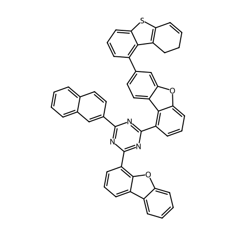 C1=Cc2sc3cccc(-c4ccc5c(c4)oc4cccc(-c6nc(-c7ccc8ccccc8c7)nc(-c7cccc8c7oc7ccccc78)n6)c45)c3c2CC1